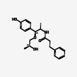 CC(NC(=O)CCc1ccccc1)[C@@H](OC[C@H](C)O)c1ccc(O)cc1